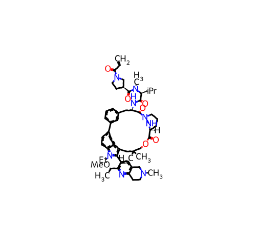 C=CC(=O)N1CC[C@H](C(=O)N(C)[C@H](C(=O)N[C@H]2Cc3cccc(c3)-c3ccc4c(c3)c(c(-c3cc5c(nc3[C@H](C)OC)CCN(C)C5)n4CC)CC(C)(C)COC(=O)[C@@H]3CCCN(N3)C2=O)C(C)C)C1